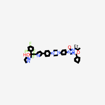 CCC(C(C)OCc1ccccc1)n1ncn(-c2ccc(N3CCN(c4ccc(-c5ccc(C(F)(F)C(O)(Cn6cccn6)c6ccc(F)cc6F)nc5)cc4)CC3)cc2)c1=O